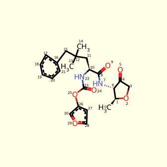 C[C@@H]1OCC(=O)[C@H]1NC(=O)[C@H](CC(C)(C)Cc1ccccc1)NC(=O)Oc1ccoc1